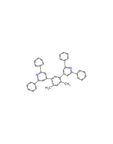 Cc1cc(C)c(-c2cc(-c3ccccc3)nc(-c3ccccc3)c2)cc1-c1cc(-c2ccccc2)nc(-c2ccccc2)c1